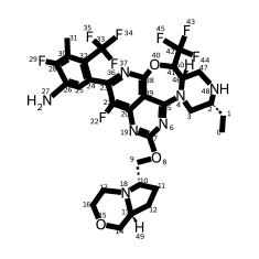 CC[C@@H]1CN2c3nc(OC[C@@H]4CC[C@H]5COCCN54)nc4c(F)c(-c5cc(N)c(F)c(C)c5C(F)(F)F)nc(c34)OC(C(F)(F)F)[C@@H]2CN1